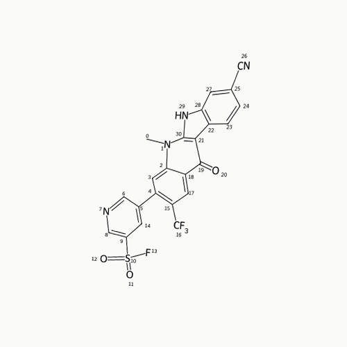 Cn1c2cc(-c3cncc(S(=O)(=O)F)c3)c(C(F)(F)F)cc2c(=O)c2c3ccc(C#N)cc3[nH]c21